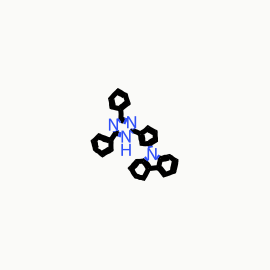 C1=Cc2c(c3ccccc3n2-c2cccc(C3N=C(c4ccccc4)N=C(c4ccccc4)N3)c2)CC1